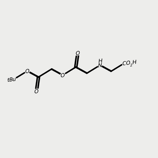 CC(C)(C)OC(=O)COC(=O)CNCC(=O)O